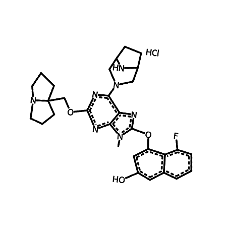 Cl.Cn1c(Oc2cc(O)cc3cccc(F)c23)nc2c(N3CC4CCC(C3)N4)nc(OCC34CCCN3CCC4)nc21